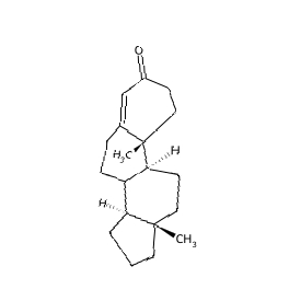 C[C@@]12CCC[C@H]1C1CCC3=CC(=O)CC[C@]3(C)[C@H]1CC2